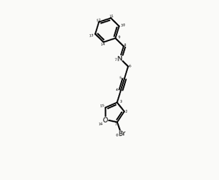 Brc1cc(C#CCN=Cc2ccccc2)co1